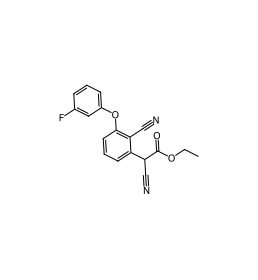 CCOC(=O)C(C#N)c1cccc(Oc2cccc(F)c2)c1C#N